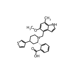 COc1cc(C)c2[nH]ccc2c1CN1CCC(c2ccsc2)C[C@H]1c1ccccc1C(=O)O